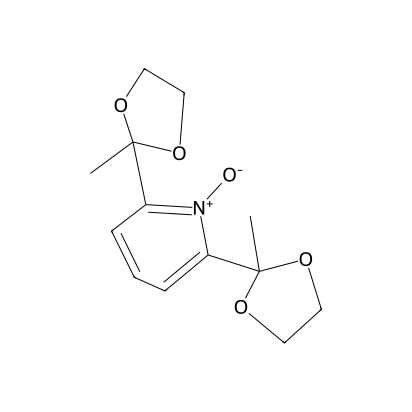 CC1(c2cccc(C3(C)OCCO3)[n+]2[O-])OCCO1